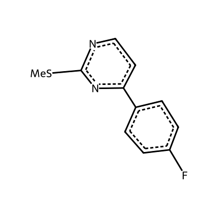 CSc1nccc(-c2ccc(F)cc2)n1